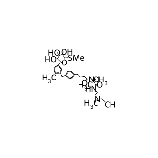 C#CCN(C)CCNC(=O)C(C)(C)NC(=O)CCCc1ccc(Cc2cc([C@@H]3O[C@H](SC)[C@@H](O)[C@H](O)[C@H]3O)ccc2C)cc1